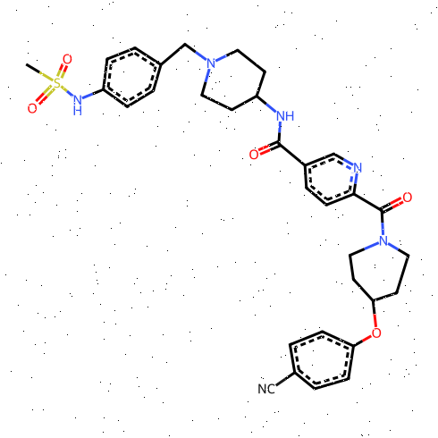 CS(=O)(=O)Nc1ccc(CN2CCC(NC(=O)c3ccc(C(=O)N4CCC(Oc5ccc(C#N)cc5)CC4)nc3)CC2)cc1